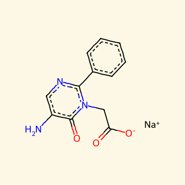 Nc1cnc(-c2ccccc2)n(CC(=O)[O-])c1=O.[Na+]